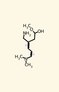 COC(O)C/C(=C\C=C/N(C)C)CN